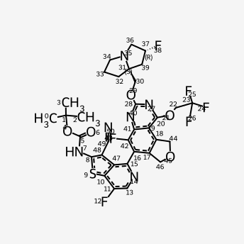 CC(C)(C)OC(=O)Nc1sc2c(F)cnc(-c3c4c(c5c(OCC(F)(F)F)nc(OC[C@@]67CCCN6C[C@H](F)C7)nc5c3F)COC4)c2c1C#N